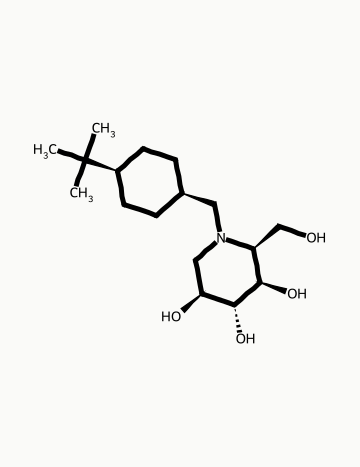 CC(C)(C)[C@H]1CC[C@@H](CN2C[C@H](O)[C@@H](O)[C@H](O)[C@@H]2CO)CC1